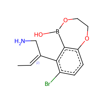 C/C=C(\CN)c1c(Br)ccc2c1B(O)OCCO2